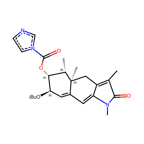 CC1=C2C[C@@]3(C)C(=C[C@@H](OCC(C)C)[C@H](OC(=O)n4ccnc4)[C@@H]3C)C=C2N(C)C1=O